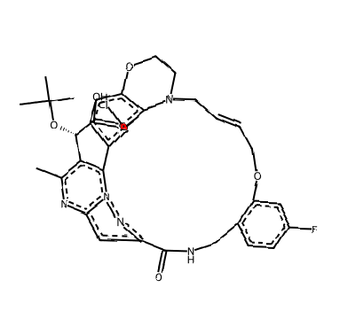 Cc1nc2cc3nn2c(c1[C@H](OC(C)(C)C)C(=O)O)-c1ccc2c(c1Cl)N(C/C=C/COc1cc(F)ccc1CNC3=O)CCO2